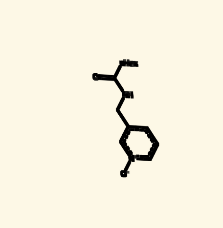 CCCCCCC(=O)NCc1ccc[n+]([O-])c1